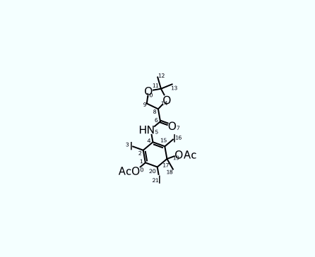 CC(=O)OC1=C(I)C(NC(=O)C2COC(C)(C)O2)=C(I)C(C)(OC(C)=O)C1I